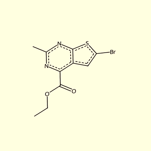 CCOC(=O)c1nc(C)nc2sc(Br)cc12